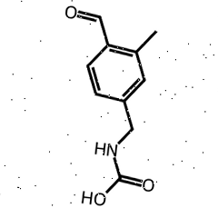 Cc1cc(CNC(=O)O)ccc1C=O